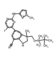 Cn1ccc(Nc2ncc(F)c(-c3cc(C#N)c4c(c3)C(C)(CO[Si](C)(C)C(C)(C)C)CN4)n2)n1